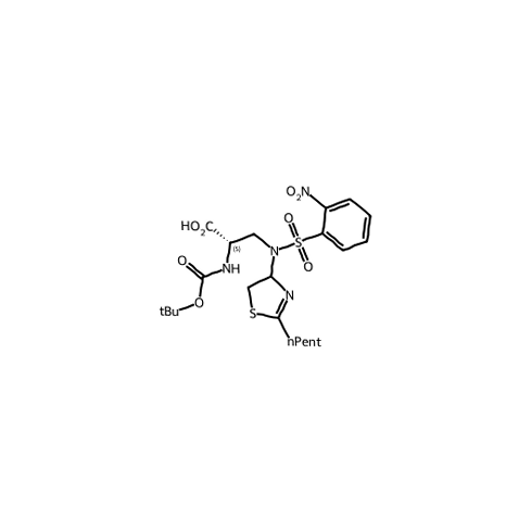 CCCCCC1=NC(N(C[C@H](NC(=O)OC(C)(C)C)C(=O)O)S(=O)(=O)c2ccccc2[N+](=O)[O-])CS1